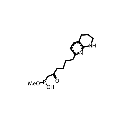 COP(O)CC(=O)CCCCc1ccc2c(n1)NCCC2